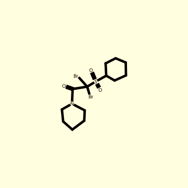 O=C(N1CCCCC1)C(Br)(Br)S(=O)(=O)C1CCCCC1